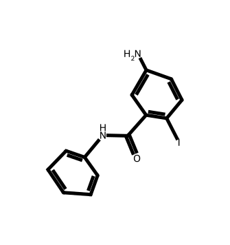 Nc1ccc(I)c(C(=O)Nc2ccccc2)c1